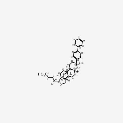 C[C@H](CCC(=O)O)[C@H]1CC[C@H]2[C@@H]3CC[C@@H]4C[C@](F)(c5ccc(-c6ccccc6)cc5)CC[C@]4(C)[C@H]3CC[C@]12C